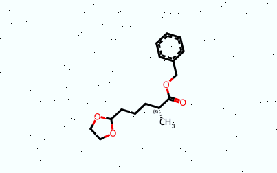 C[C@H](CCCC1OCCO1)C(=O)OCc1ccccc1